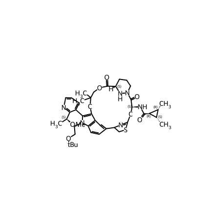 CO[C@@H](C)c1ncccc1-c1c2c3cc(ccc3n1CCOC(C)(C)C)C1CSC(=N1)C[C@H](NC(=O)[C@H]1[C@H](C)[C@@H]1C)C(=O)N1CCC[C@H](N1)C(=O)OCC(C)(C)C2